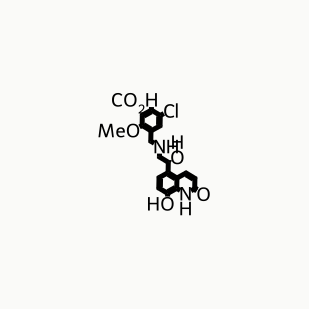 COc1cc(C(=O)O)c(Cl)cc1CNC[C@H](O)c1ccc(O)c2[nH]c(=O)ccc12